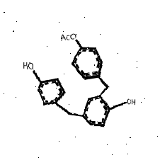 CC(=O)Oc1ccc(Cc2cc(Cc3ccc(O)cc3)ccc2O)cc1